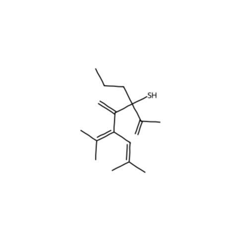 C=C(C)C(S)(CCC)C(=C)C(C=C(C)C)=C(C)C